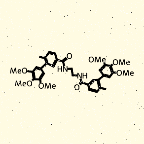 COc1cc(-c2cc(C(=O)NCCNC(=O)c3ccc(C)c(-c4cc(OC)c(OC)c(OC)c4)c3)ccc2C)cc(OC)c1OC